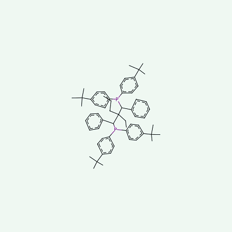 CCCC(CC)(C(c1ccccc1)P(c1ccc(C(C)(C)C)cc1)c1ccc(C(C)(C)C)cc1)C(c1ccccc1)P(c1ccc(C(C)(C)C)cc1)c1ccc(C(C)(C)C)cc1